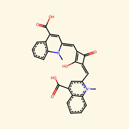 CN1C(=CC2=C(O)C(=Cc3cc(C(=O)O)c4ccccc4[n+]3C)C2=O)C=C(C(=O)O)c2ccccc21